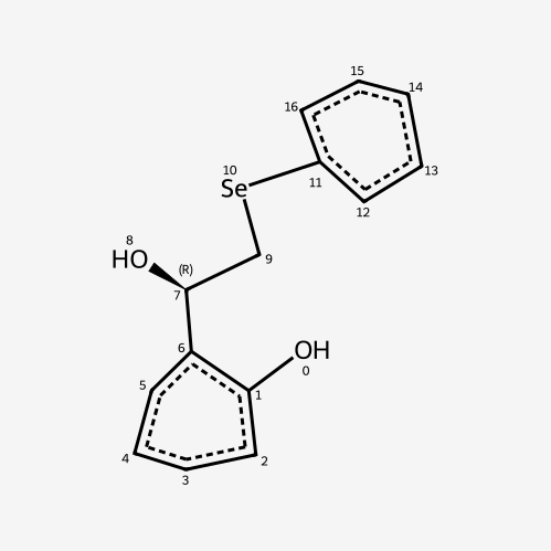 Oc1ccccc1[C@@H](O)C[Se]c1ccccc1